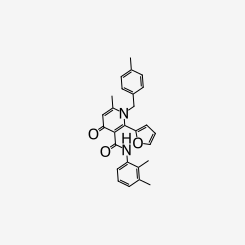 Cc1ccc(Cn2c(C)cc(=O)c(C(=O)Nc3cccc(C)c3C)c2-c2ccco2)cc1